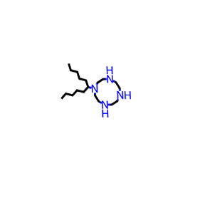 CCCCCC(CCCCC)N1CCNCCNCCNCC1